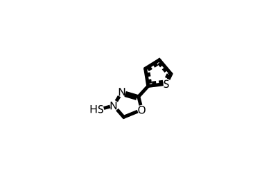 SN1COC(c2cccs2)=N1